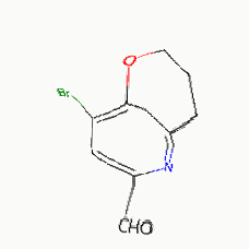 O=Cc1cc(Br)c2c(n1)CCCO2